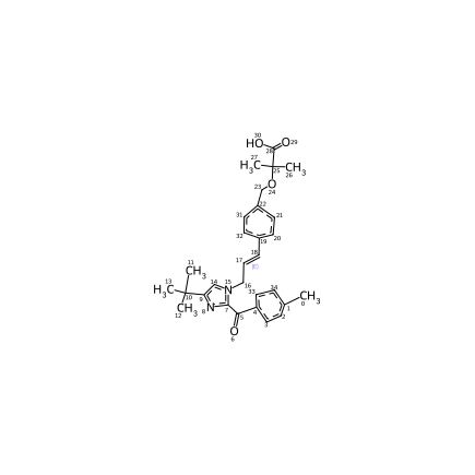 Cc1ccc(C(=O)c2nc(C(C)(C)C)cn2C/C=C/c2ccc(COC(C)(C)C(=O)O)cc2)cc1